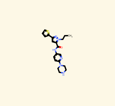 CCCn1nc(-c2cccs2)cc1C(=O)Nc1ccc(N2CCNCC2)nc1